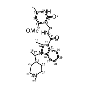 COc1cc(C)[nH]c(=O)c1CNC(=O)c1c(C)n(C(C)C2CCN(C)CC2)c2ccccc12